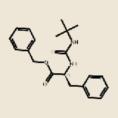 CC(C)(C)NC(=O)N[C@@H](Cc1ccccc1)C(=O)OCc1ccccc1